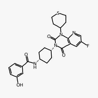 O=C(N[C@H]1CC[C@@H](n2c(=O)c3cc(F)cnc3n(C3CCSCC3)c2=O)CC1)c1cccc(O)c1